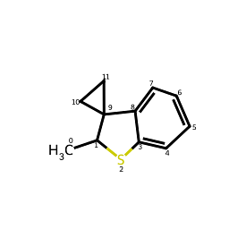 CC1Sc2ccccc2C12CC2